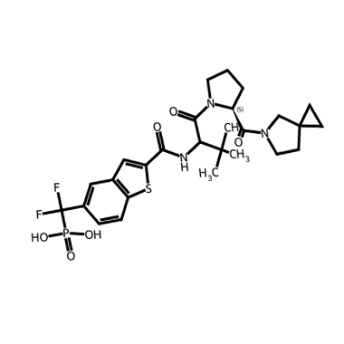 CC(C)(C)C(NC(=O)c1cc2cc(C(F)(F)P(=O)(O)O)ccc2s1)C(=O)N1CCC[C@H]1C(=O)N1CCC2(CC2)C1